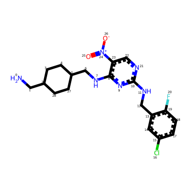 NCC1CCC(CNc2nc(NCc3cc(Cl)ccc3F)ncc2[N+](=O)[O-])CC1